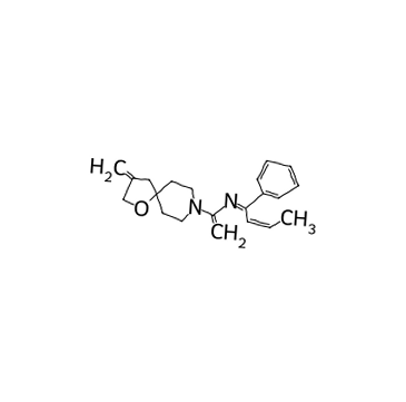 C=C1COC2(CCN(C(=C)/N=C(\C=C/C)c3ccccc3)CC2)C1